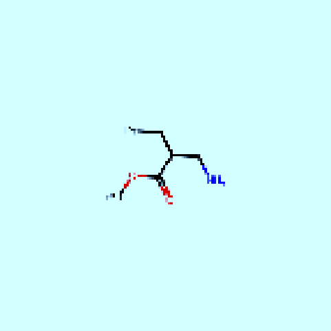 CC(C)CC(CN)C(=O)OC(C)(C)C